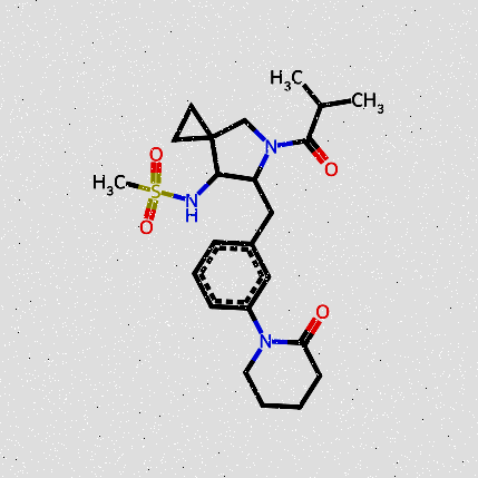 CC(C)C(=O)N1CC2(CC2)C(NS(C)(=O)=O)C1Cc1cccc(N2CCCCC2=O)c1